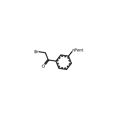 CCCCCc1cccc(C(=O)CBr)c1